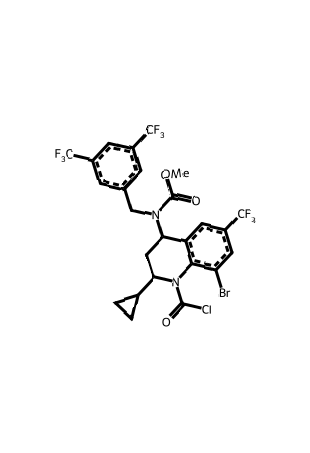 COC(=O)N(Cc1cc(C(F)(F)F)cc(C(F)(F)F)c1)C1CC(C2CC2)N(C(=O)Cl)c2c(Br)cc(C(F)(F)F)cc21